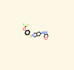 FC(F)Oc1ccc(SN2CC3CC(NC4CCOC4)CC3C2)cc1